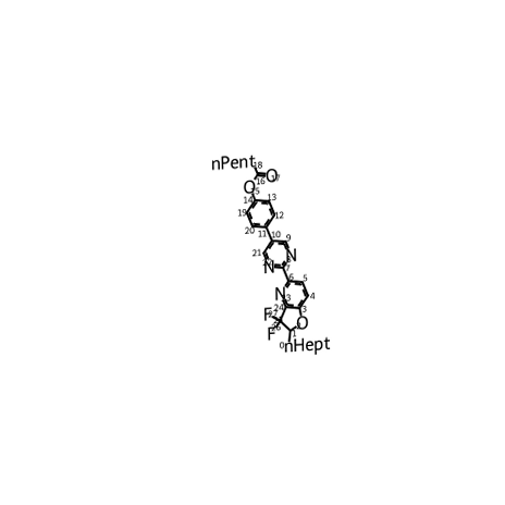 CCCCCCCC1Oc2ccc(-c3ncc(-c4ccc(OC(=O)CCCCC)cc4)cn3)nc2C1(F)F